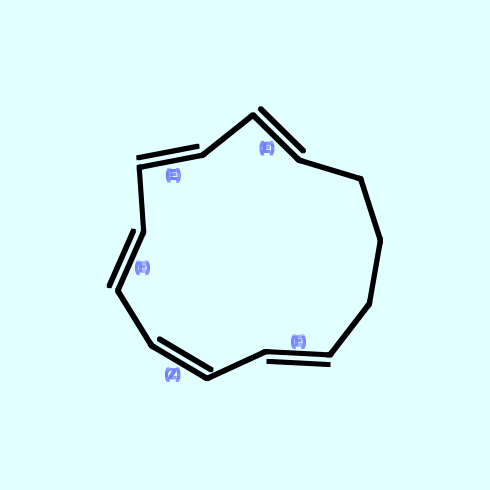 C1=C\C=C\CCC/C=C/C=C/C=C/1